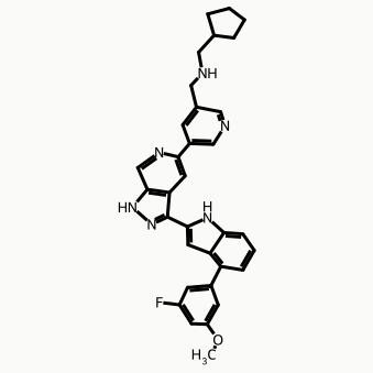 COc1cc(F)cc(-c2cccc3[nH]c(-c4n[nH]c5cnc(-c6cncc(CNCC7CCCC7)c6)cc45)cc23)c1